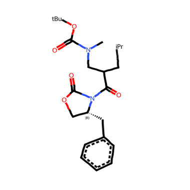 CC(C)CC(CN(C)C(=O)OC(C)(C)C)C(=O)N1C(=O)OC[C@H]1Cc1ccccc1